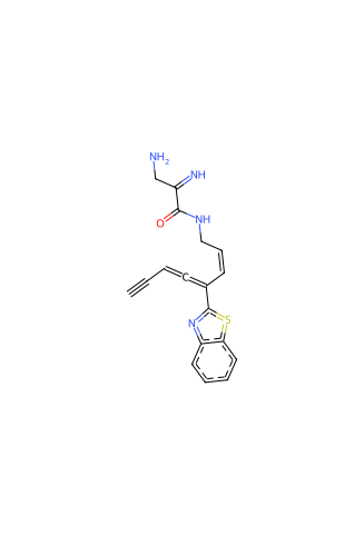 C#CC=C=C(/C=C\CNC(=O)C(=N)CN)c1nc2ccccc2s1